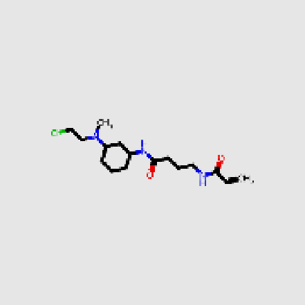 C=CC(=O)NCCCC(=O)NC1CCCC(N(C)CCCl)C1